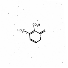 O=C(O)C1=C(C(=O)O)C(=S)CC=C1